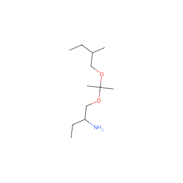 CCC(C)COC(C)(C)OCC(N)CC